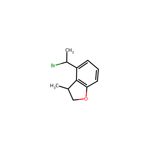 CC(Br)c1cccc2c1C(C)CO2